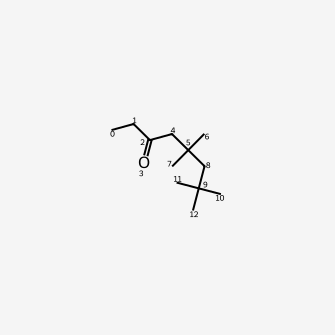 CCC(=O)CC(C)(C)CC(C)(C)C